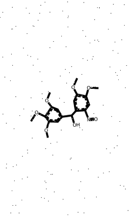 COc1cc(N=O)c(C(O)c2cc(OC)c(OC)c(OC)c2)cc1OC